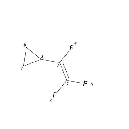 FC(F)=C(F)C1[CH]C1